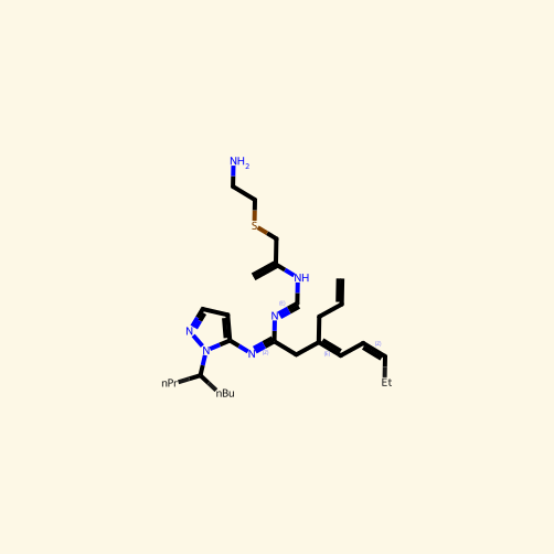 C=CC/C(=C\C=C/CC)CC(=N/c1ccnn1C(CCC)CCCC)/N=C/NC(=C)CSCCN